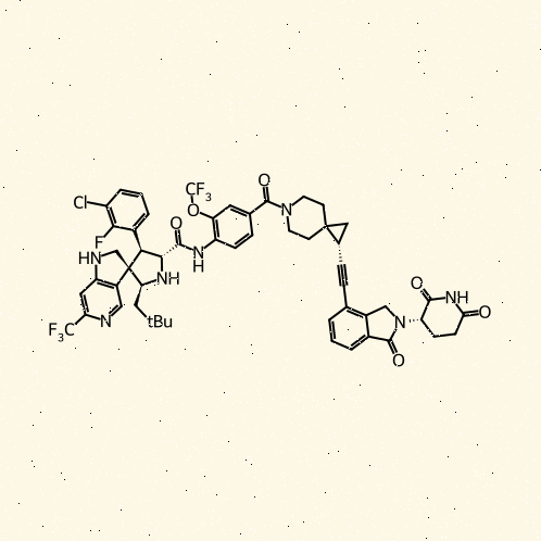 CC(C)(C)C[C@@H]1N[C@@H](C(=O)Nc2ccc(C(=O)N3CCC4(CC3)C[C@@H]4C#Cc3cccc4c3CN([C@H]3CCC(=O)NC3=O)C4=O)cc2OC(F)(F)F)[C@H](c2cccc(Cl)c2F)[C@]12CNc1cc(C(F)(F)F)ncc12